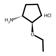 CCO[C@@H]1CCC[C@H]1N.Cl